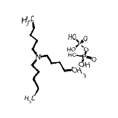 CCCCCN(CCCCC)CCCCC.O=P(O)(O)OP(=O)(O)O